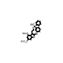 CCOC(=O)c1cc(OC)c2c(CCO[Si](c3ccccc3)(c3ccccc3)C(C)(C)C)c(Br)oc2c1